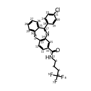 O=C(NCCCC(F)(F)F)c1ccc2c(c1)N=C(c1ccc(Cl)cc1)c1ccccc1S2